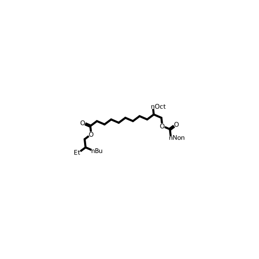 CCCCCCCCCC(=O)OCC(CCCCCCCC)CCCCCCCCC(=O)OCC(CC)CCCC